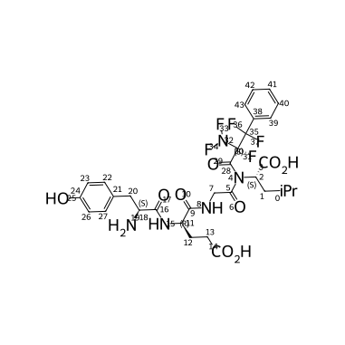 CC(C)C[C@@H](C(=O)O)N(C(=O)CNC(=O)[C@@H](CCC(=O)O)NC(=O)[C@@H](N)Cc1ccc(O)cc1)C(=O)[C@@](F)(N(F)F)C(F)(F)c1ccccc1